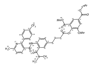 CCCOC(=O)c1cc(OC)c(OC(=O)CCCc2ccc(NC(=O)c3ccc(C)nc3-c3ccc(C(F)(F)F)cc3)c(C(=O)N(C)C)c2)c(C(=O)OC)c1